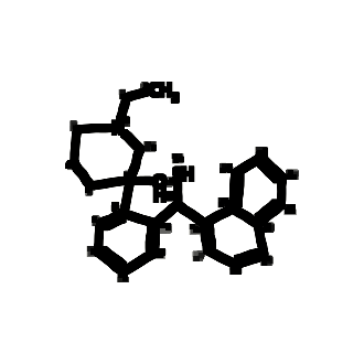 CCN1CCCC(O)(c2ccccc2C(S)c2cccc3ccccc23)C1